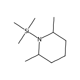 CC1CCCC(C)N1[Si](C)(C)C